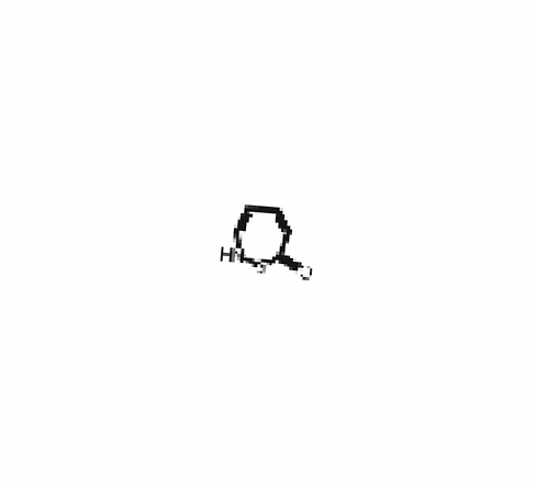 O=C1C=CC=CNS1